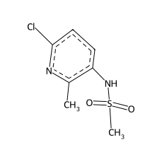 Cc1nc(Cl)ccc1NS(C)(=O)=O